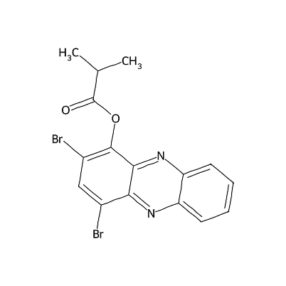 CC(C)C(=O)Oc1c(Br)cc(Br)c2nc3ccccc3nc12